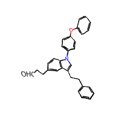 O=CCCc1ccc2c(c1)c(CCc1ccccc1)cn2-c1ccc(Oc2ccccc2)cc1